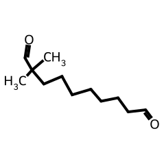 CC(C)(C=O)CCCCCCCC=O